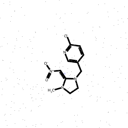 CN1CCN(Cc2ccc(Cl)nc2)/C1=C/[N+](=O)[O-]